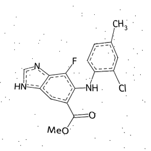 COC(=O)c1cc2[nH]cnc2c(F)c1Nc1ccc(C)cc1Cl